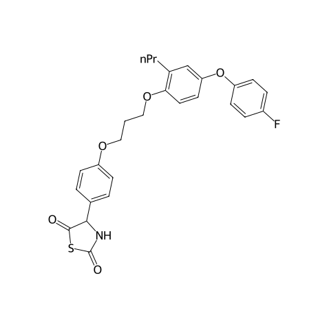 CCCc1cc(Oc2ccc(F)cc2)ccc1OCCCOc1ccc(C2NC(=O)SC2=O)cc1